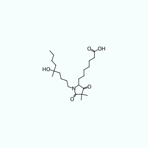 CCCCC(C)(O)CCCCN1C(=O)C(C)(C)C(=O)C1CCCCCCC(=O)O